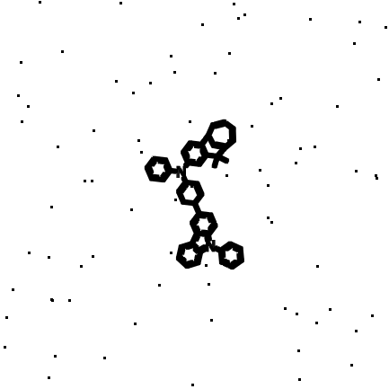 CC1(C)C2=CC(C=CC=C2)c2ccc(N(C3=CCC(c4ccc5c(c4)c4ccccc4n5-c4ccccc4)C=C3)c3ccccc3)cc21